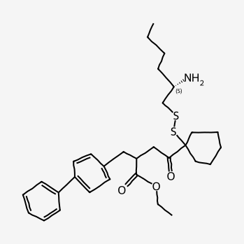 CCCC[C@H](N)CSSC1(C(=O)CC(Cc2ccc(-c3ccccc3)cc2)C(=O)OCC)CCCCC1